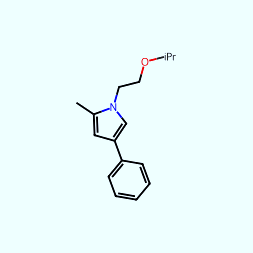 Cc1cc(-c2ccccc2)cn1CCOC(C)C